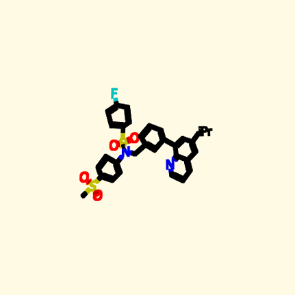 CC(C)c1cc(-c2cccc(CN(c3ccc(S(C)(=O)=O)cc3)S(=O)(=O)c3ccc(F)cc3)c2)c2ncccc2c1